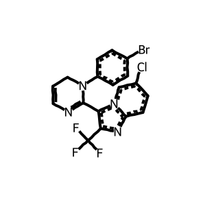 FC(F)(F)c1nc2ccc(Cl)cn2c1C1=NC=CCN1c1ccc(Br)cc1